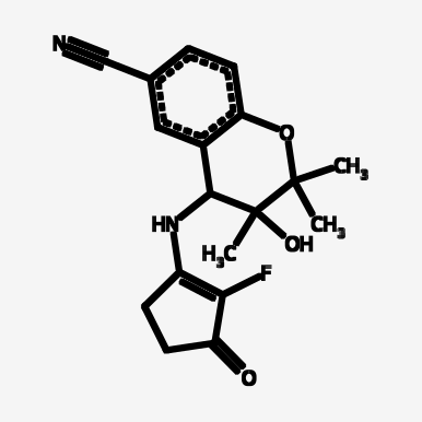 CC1(C)Oc2ccc(C#N)cc2C(NC2=C(F)C(=O)CC2)C1(C)O